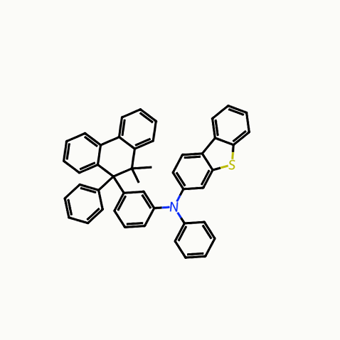 CC1(C)c2ccccc2-c2ccccc2C1(c1ccccc1)c1cccc(N(c2ccccc2)c2ccc3c(c2)sc2ccccc23)c1